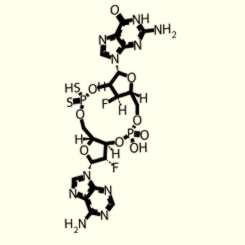 Nc1nc2c(ncn2[C@@H]2O[C@@H]3COP(=O)(O)O[C@H]4[C@H](F)[C@H](n5cnc6c(N)ncnc65)O[C@@H]4COP(=S)(S)O[C@@H]2[C@@H]3F)c(=O)[nH]1